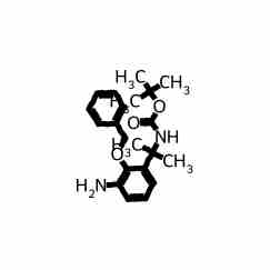 CC(C)(C)OC(=O)NC(C)(C)c1cccc(N)c1OCc1ccccc1